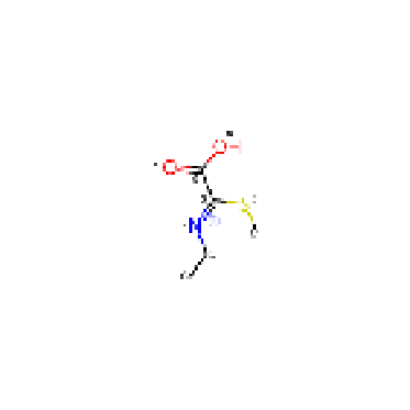 CC/N=C(\SC)C(=O)O